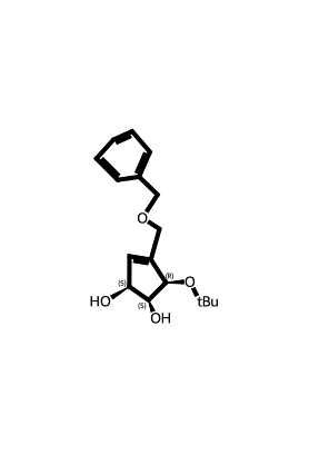 CC(C)(C)O[C@@H]1C(COCc2ccccc2)=C[C@H](O)[C@@H]1O